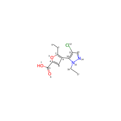 CCc1oc(C(=O)O)cc1-c1c(Cl)cnn1CC